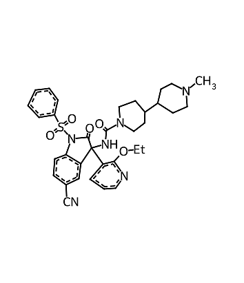 CCOc1ncccc1C1(NC(=O)N2CCC(C3CCN(C)CC3)CC2)C(=O)N(S(=O)(=O)c2ccccc2)c2ccc(C#N)cc21